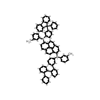 Cc1cccc(N(c2cccc(-c3ccccc3-c3ccccc3-c3ccccc3)c2)c2ccc3ccc4c(N(c5cccc(C)c5)c5cccc(C6(c7ccccc7)c7ccccc7-c7ccccc76)c5)ccc5ccc2c3c54)c1